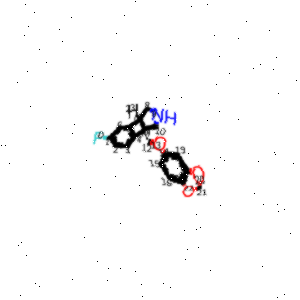 Fc1ccc2c(c1)[C@H]1CNC[C@@]21COc1ccc2c(c1)OCO2